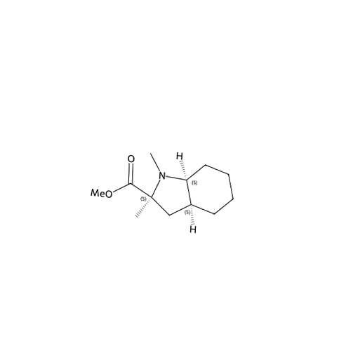 COC(=O)[C@]1(C)C[C@@H]2CCCC[C@@H]2N1C